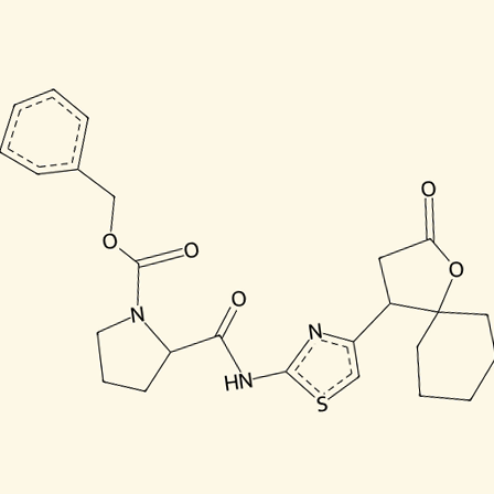 O=C1CC(c2csc(NC(=O)C3CCCN3C(=O)OCc3ccccc3)n2)C2(CCCCC2)O1